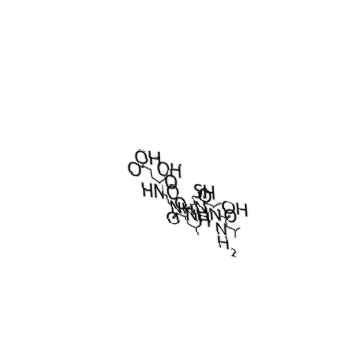 CC(C)CC(NC(=O)C(CS)NC(=O)C(CO)NC(=O)C(N)C(C)C)C(=O)NCC(=O)NC(CCC(=O)O)C(=O)O